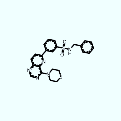 O=S(=O)(NCc1ccccc1)c1cccc(-c2ccc3ncnc(N4CCSCC4)c3n2)c1